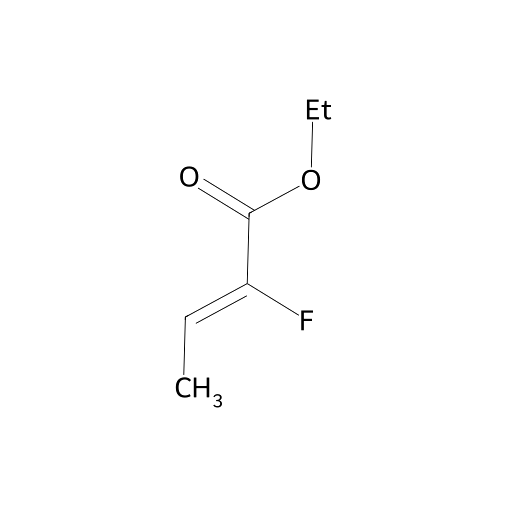 CC=C(F)C(=O)OCC